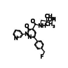 CC(C)(O)CNC(=O)c1cc(-c2ccc(CF)cc2)nn(-c2cccnc2)c1=O